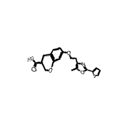 Cc1oc(-c2cccs2)nc1CCOc1ccc2c(c1)OCC(C(=O)O)C2